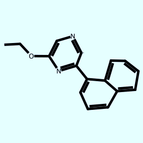 CCOc1cn[c]c(-c2cccc3ccccc23)n1